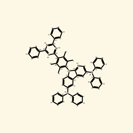 Cc1c(C)c(-n2c3ccc(N(c4ccccc4)c4ccccc4)cc3c3cc(N(c4ccccc4)c4ccccc4)cnc32)c(C)c(C)c1-c1nc(-c2ccccc2)nc(-c2ccccc2)n1